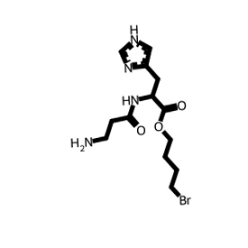 NCCC(=O)NC(Cc1c[nH]cn1)C(=O)OCCCCBr